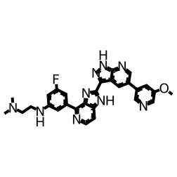 COc1cncc(-c2cnc3[nH]nc(-c4nc5c(-c6cc(F)cc(NCCN(C)C)c6)nccc5[nH]4)c3c2)c1